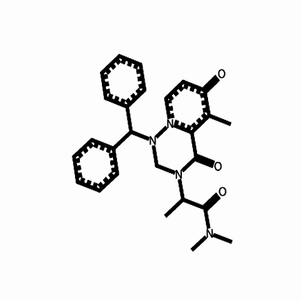 Cc1c2n(ccc1=O)N(C(c1ccccc1)c1ccccc1)CN(C(C)C(=O)N(C)C)C2=O